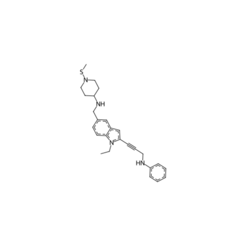 CCn1c(C#CCNc2ccccc2)cc2cc(CNC3CCN(SC)CC3)ccc21